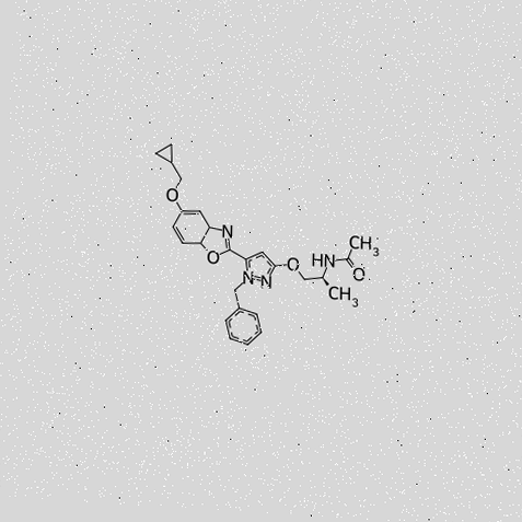 CC(=O)N[C@@H](C)COc1cc(C2=NC3C=C(OCC4CC4)C=CC3O2)n(Cc2ccccc2)n1